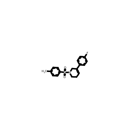 Cc1ccc(S(=O)(=O)N2CCC=C(c3ccc(F)cc3)C2)cc1